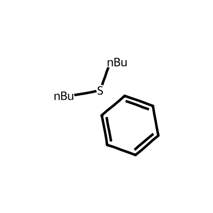 CCCCSCCCC.c1ccccc1